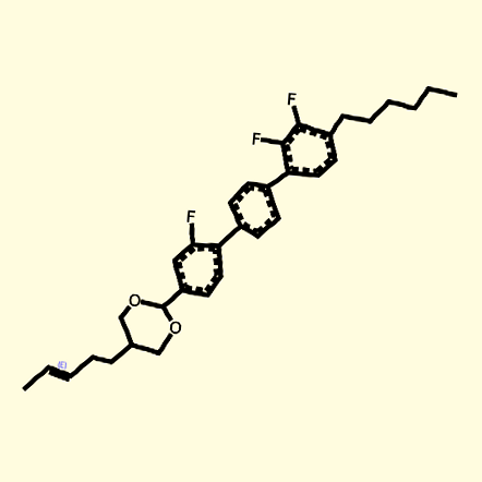 C/C=C/CCC1COC(c2ccc(-c3ccc(-c4ccc(CCCCCC)c(F)c4F)cc3)c(F)c2)OC1